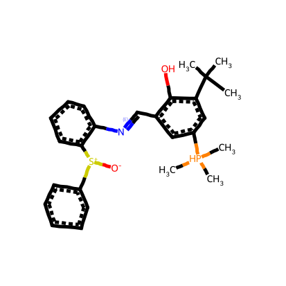 CC(C)(C)c1cc([PH](C)(C)C)cc(/C=N/c2ccccc2[S+]([O-])c2ccccc2)c1O